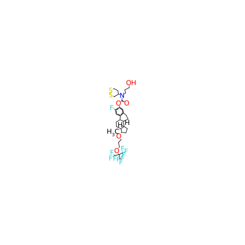 C[C@]12CCC3c4cc(F)c(OC(=O)N(CCCO)C5CCSSC5)cc4CC[C@H]3[C@@H]1CC[C@@H]2OCCCOC(C(F)(F)F)(C(F)(F)F)C(F)(F)F